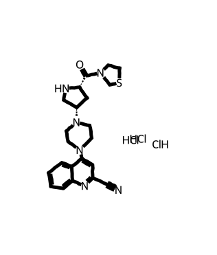 Cl.Cl.Cl.N#Cc1cc(N2CCN([C@@H]3CN[C@H](C(=O)N4CCSC4)C3)CC2)c2ccccc2n1